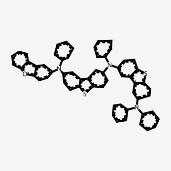 c1ccc(N(c2ccccc2)c2ccc3sc4ccc(N(c5ccccc5)c5ccc6sc7ccc(N(c8ccccc8)c8ccc9oc%10ccccc%10c9c8)cc7c6c5)cc4c3c2)cc1